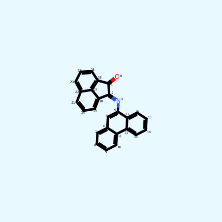 O=C1/C(=N/c2cc3ccccc3c3ccccc23)c2cccc3cccc1c23